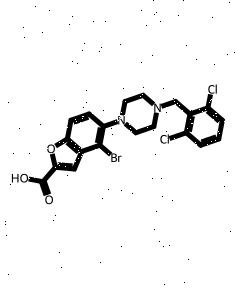 O=C(O)c1cc2c(Br)c(N3CCN(Cc4c(Cl)cccc4Cl)CC3)ccc2o1